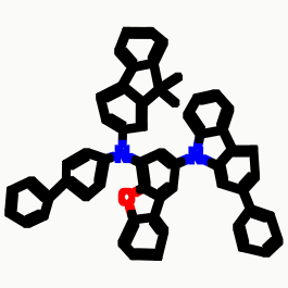 CC1(C)c2ccccc2-c2ccc(N(c3ccc(-c4ccccc4)cc3)c3cc(-n4c5ccccc5c5ccc(-c6ccccc6)cc54)cc4c3oc3ccccc34)cc21